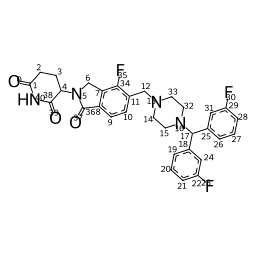 O=C1CCC(N2Cc3c(ccc(CN4CCN(C(c5cccc(F)c5)c5cccc(F)c5)CC4)c3F)C2=O)C(=O)N1